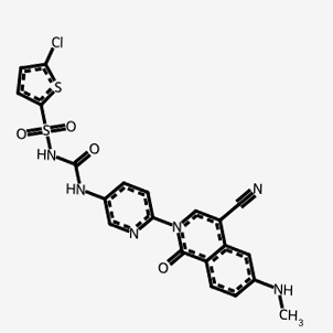 CNc1ccc2c(=O)n(-c3ccc(NC(=O)NS(=O)(=O)c4ccc(Cl)s4)cn3)cc(C#N)c2c1